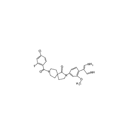 COc1cc(N2CCC3(CCN(C(=O)c4ccc(Cl)cc4F)CC3)C2=O)ccc1/C(C=N)=C/N